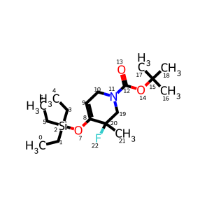 CC[Si](CC)(CC)OC1=CCN(C(=O)OC(C)(C)C)CC1(C)F